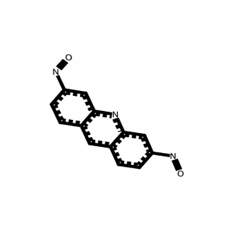 O=Nc1ccc2cc3ccc(N=O)cc3nc2c1